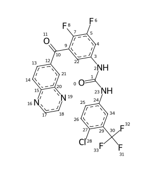 O=C(Nc1cc(F)c(F)c(C(=O)c2ccc3nccnc3c2)c1)Nc1ccc(Cl)c(C(F)(F)F)c1